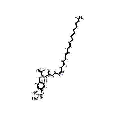 CCC=CCC=CCC=CCC=CCC=CC/C=C\CCC(=O)N[C@@H](Cc1ccc(OP(=O)(O)O)cc1)C(=O)O